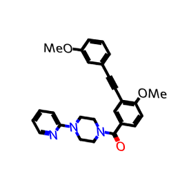 COc1cccc(C#Cc2cc(C(=O)N3CCN(c4ccccn4)CC3)ccc2OC)c1